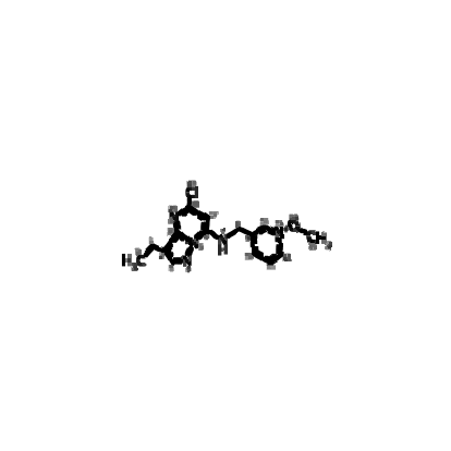 CCc1cnn2c(NCc3ccc[n+](OC)c3)cc(Cl)nc12